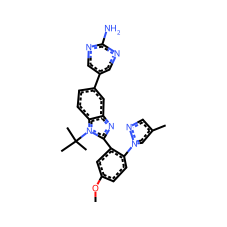 COc1ccc(-n2cc(C)cn2)c(-c2nc3cc(-c4cnc(N)nc4)ccc3n2C(C)(C)C)c1